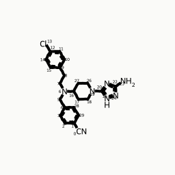 N#Cc1ccc(CN(CCc2ccc(Cl)cc2)C2CCN(c3nc(N)n[nH]3)CC2)cc1